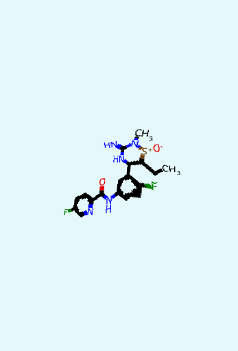 CCC1C(c2cc(NC(=O)c3ccc(F)cn3)ccc2F)NC(=N)N(C)[S+]1[O-]